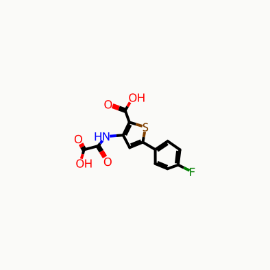 O=C(O)C(=O)Nc1cc(-c2ccc(F)cc2)sc1C(=O)O